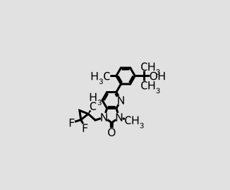 Cc1ccc(C(C)(C)O)cc1-c1ccc2c(n1)n(C)c(=O)n2C[C@@]1(C)CC1(F)F